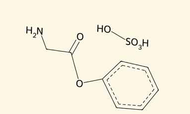 NCC(=O)Oc1ccccc1.O=S(=O)(O)O